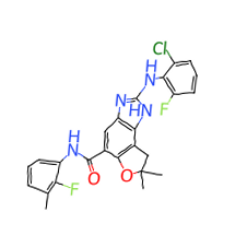 Cc1cccc(NC(=O)c2cc3nc(Nc4c(F)cccc4Cl)[nH]c3c3c2OC(C)(C)C3)c1F